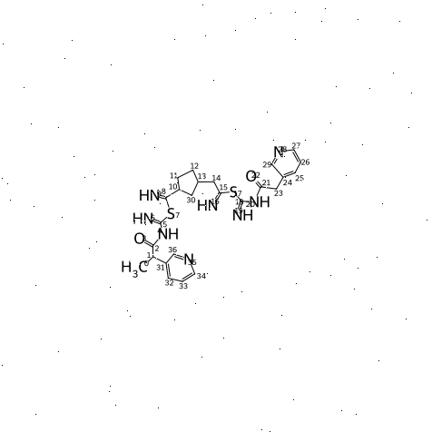 CC(C(=O)NC(=N)SC(=N)C1CCC(CC(=N)SC(=N)NC(=O)Cc2cccnc2)C1)c1cccnc1